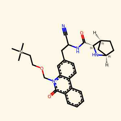 C[Si](C)(C)CCOCn1c(=O)c2ccccc2c2ccc(CC(C#N)NC(=O)[C@H]3N[C@@H]4CC[C@H]3C4)cc21